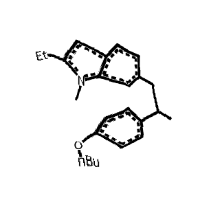 CCCCOc1ccc(C(C)Cc2ccc3cc(CC)n(C)c3c2)cc1